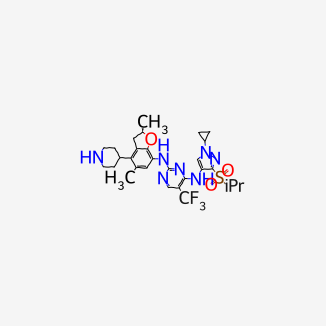 Cc1cc(Nc2ncc(C(F)(F)F)c(Nc3cn(C4CC4)nc3S(=O)(=O)C(C)C)n2)c2c(c1C1CCNCC1)C[C@@H](C)O2